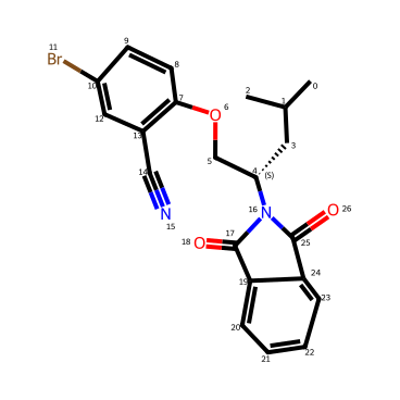 CC(C)C[C@@H](COc1ccc(Br)cc1C#N)N1C(=O)c2ccccc2C1=O